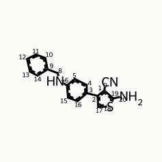 N#Cc1c(-c2ccc(NCc3ccccc3)cc2)csc1N